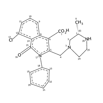 C[C@H]1CN(Cc2c(C(=O)O)c3cccc(Cl)c3c(=O)n2-c2ccccc2)CCN1